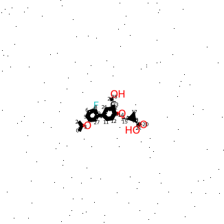 CC(C)Oc1ccc(F)c(-c2ccc(OC[C@@H]3C[C@H]3C(=O)O)c(CCO)c2)c1